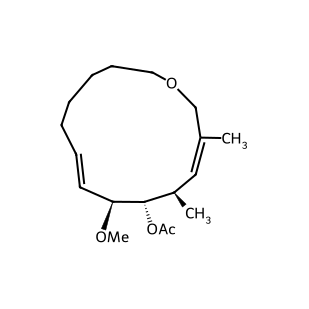 CO[C@H]1/C=C/CCCCCOC/C(C)=C\[C@@H](C)[C@@H]1OC(C)=O